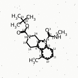 CNC(=O)n1c2c(c3c(C)cccc31)CCN(C(=O)OC(C)(C)C)C2